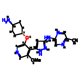 COc1cncc(O[C@H]2CC[C@H](N)CC2)c1-c1cc(Nc2cnc(C#N)cn2)n[nH]1